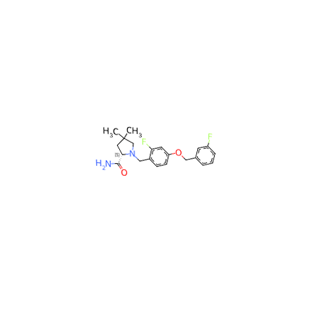 CC1(C)C[C@@H](C(N)=O)N(Cc2ccc(OCc3cccc(F)c3)cc2F)C1